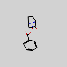 O=C(ON1C2CCC1C(O)C2)c1ccccc1